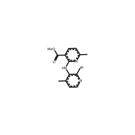 COC(=O)c1ccc(C)nc1Nc1c(C)ccnc1C(C)C